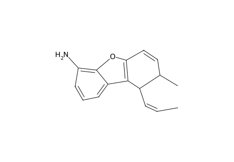 C/C=C\C1c2c(oc3c(N)cccc23)C=CC1C